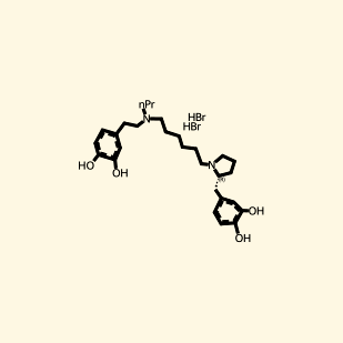 Br.Br.CCCN(CCCCCCN1CCC[C@@H]1Cc1ccc(O)c(O)c1)CCc1ccc(O)c(O)c1